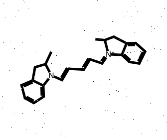 CC1Cc2ccccc2N1/C=C/C=C/C=[N+]1/c2ccccc2CC1C